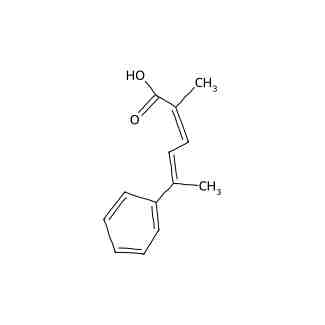 CC(=CC=C(C)c1ccccc1)C(=O)O